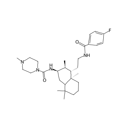 C[C@@H]1[C@H](NC(=O)N2CCN(C)CC2)CC2C(C)(C)CCC[C@]2(C)[C@H]1CCNC(=O)c1ccc(F)cc1